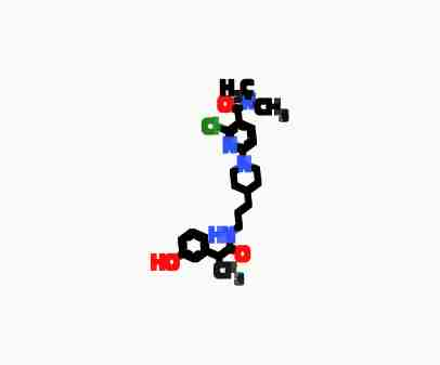 CN(C)C(=O)c1ccc(N2CCC(CCCNC(=O)C(c3cccc(O)c3)C(F)(F)F)CC2)nc1Cl